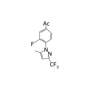 CC(=O)c1ccc(-n2nc(C(F)(F)F)cc2C)c(F)c1